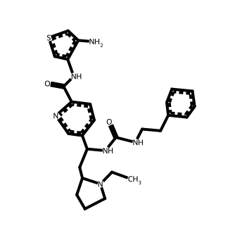 CCN1CCCC1CC(NC(=O)NCCc1ccccc1)c1ccc(C(=O)Nc2cscc2N)nc1